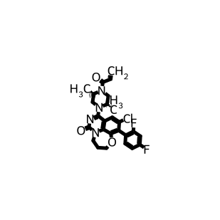 C=CC(=O)N1C[C@H](C)N(c2nc(=O)n3c4c(c(-c5ccc(F)cc5F)c(Cl)cc24)OCCC3)C[C@H]1C